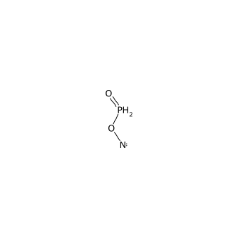 [N]O[PH2]=O